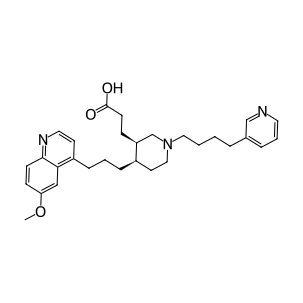 COc1ccc2nccc(CCC[C@@H]3CCN(CCCCc4cccnc4)C[C@@H]3CCC(=O)O)c2c1